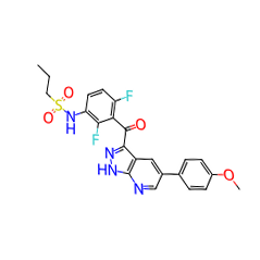 CCCS(=O)(=O)Nc1ccc(F)c(C(=O)c2n[nH]c3ncc(-c4ccc(OC)cc4)cc23)c1F